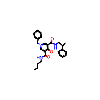 CCCCNC(=O)c1cn(Cc2ccccc2)cc(C(=O)NCC(C)c2ccccc2)c1=O